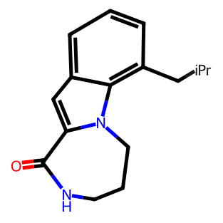 CC(C)Cc1cccc2cc3n(c12)CCCNC3=O